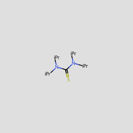 CC(C)N(C(=S)N(C(C)C)C(C)C)C(C)C